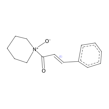 O=C(/C=C/c1ccccc1)[N+]1([O-])CCCCC1